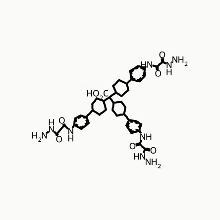 NNC(=O)C(=O)Nc1ccc(C2CCC(C(C(=O)O)(C3CCC(c4ccc(NC(=O)C(=O)NN)cc4)CC3)C3CCC(c4ccc(NC(=O)C(=O)NN)cc4)CC3)CC2)cc1